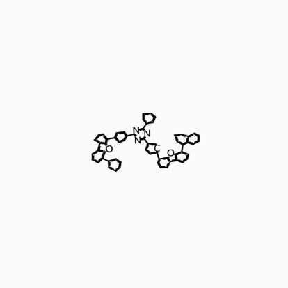 c1ccc(-c2nc(-c3ccc(-c4cccc5c4oc4c(-c6ccccc6)cccc45)cc3)nc(-c3ccc(-c4cccc5c4oc4c(-c6cccc7ccccc67)cccc45)cc3)n2)cc1